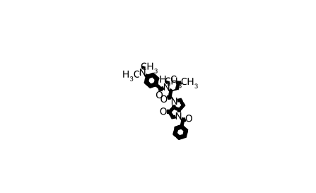 CC(C)C[C@@H](C(=O)N1CCC2C1C(=O)CN2C(=O)c1ccccc1)N(C)C(=O)c1ccc(N(C)C)cc1